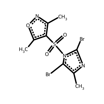 Cc1noc(C)c1S(=O)(=O)n1c(Br)nc(C)c1Br